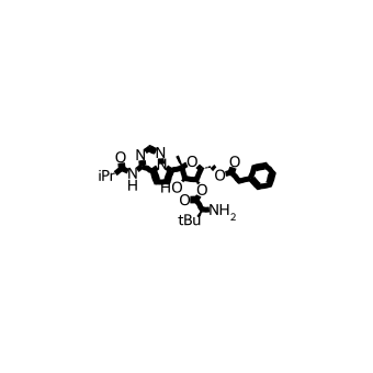 CC(C)C(=O)Nc1ncnn2c([C@]3(C)O[C@H](COC(=O)Cc4ccccc4)[C@@H](OC(=O)[C@@H](N)C(C)(C)C)[C@H]3O)ccc12